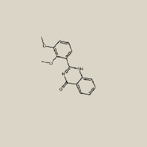 COc1cccc(-c2nc(=O)c3ccccc3[nH]2)c1OC